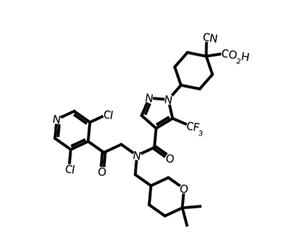 CC1(C)CCC(CN(CC(=O)c2c(Cl)cncc2Cl)C(=O)c2cnn(C3CCC(C#N)(C(=O)O)CC3)c2C(F)(F)F)CO1